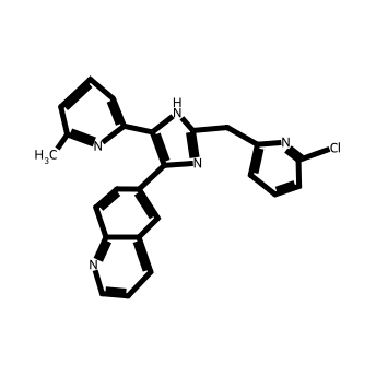 Cc1cccc(-c2[nH]c(Cc3cccc(Cl)n3)nc2-c2ccc3ncccc3c2)n1